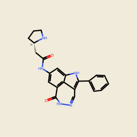 O=C(C[C@@H]1CCCN1)Nc1cc2c3c(c(-c4ccccc4)[nH]c3c1)C=NNC2=O